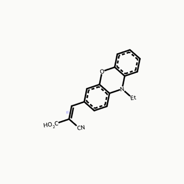 CCN1c2ccccc2Oc2cc(/C=C(\C#N)C(=O)O)ccc21